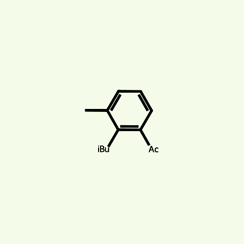 CCC(C)c1c(C)cccc1C(C)=O